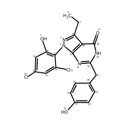 CCc1nn(-c2c(O)cc(Cl)cc2Cl)c2nc(Cc3ccc(O)cc3)[nH]c(=O)c12